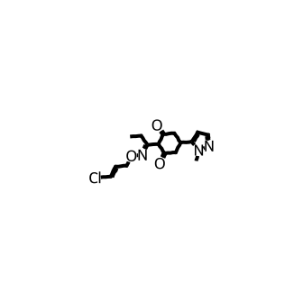 CCC(=NOCC=CCl)C1C(=O)CC(c2ccnn2C)CC1=O